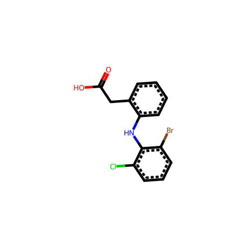 O=C(O)Cc1ccccc1Nc1c(Cl)cccc1Br